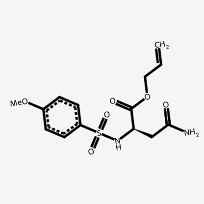 C=CCOC(=O)[C@@H](CC(N)=O)NS(=O)(=O)c1ccc(OC)cc1